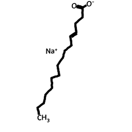 CCCCCCCCCCCC=CCCC(=O)[O-].[Na+]